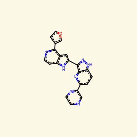 c1cnc(-c2ccc3[nH]nc(-c4cc5c(-c6ccoc6)nccc5[nH]4)c3n2)cn1